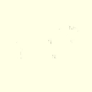 Cn1cc(S(N)(=O)=O)nc1CC[SH](=O)=O